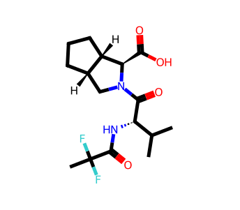 CC(C)[C@H](NC(=O)C(C)(F)F)C(=O)N1C[C@@H]2CCC[C@@H]2[C@H]1C(=O)O